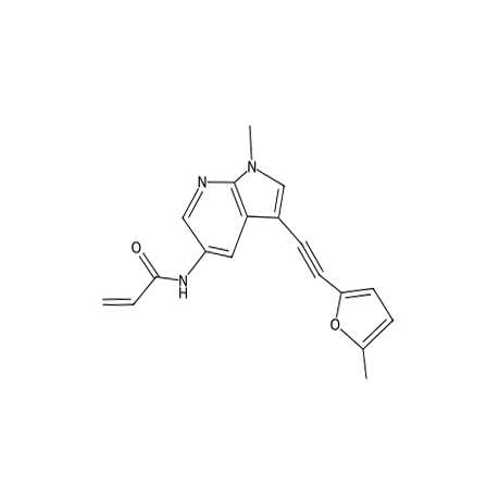 C=CC(=O)Nc1cnc2c(c1)c(C#Cc1ccc(C)o1)cn2C